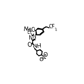 CCc1nc(C(=O)NCC2CCC(S(C)(=O)=O)CC2)cn1-c1ccc(CCC(F)(F)F)cc1OC